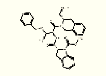 CC(OCc1ccccc1)C(NC(=O)[C@H]1Cc2ccccc2N1C(=O)OC(C)(C)C)C(=O)N1Cc2ccccc2C[C@@H]1CC(=O)O